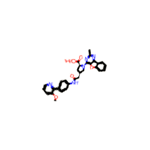 COc1cccnc1-c1ccc(NC(=O)C[C@H]2C[C@@H](C(=O)O)N(c3nc(C)nc4c3oc3ccccc34)C2)cc1